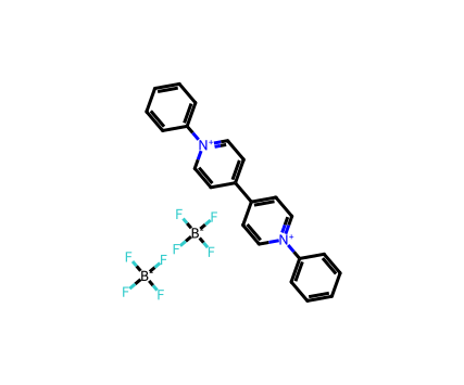 F[B-](F)(F)F.F[B-](F)(F)F.c1ccc(-[n+]2ccc(-c3cc[n+](-c4ccccc4)cc3)cc2)cc1